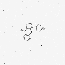 FCC1CCCN(C2CCNCC2)C1Cc1ccccc1